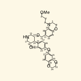 COCCCN1CCOc2ccc(CO[C@H]3CNC[C@@H](O)[C@@H]3c3ccc(Oc4ccc5c(c4)OCCO5)cc3)cc21